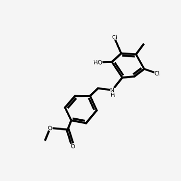 COC(=O)c1ccc(CNc2cc(Cl)c(C)c(Cl)c2O)cc1